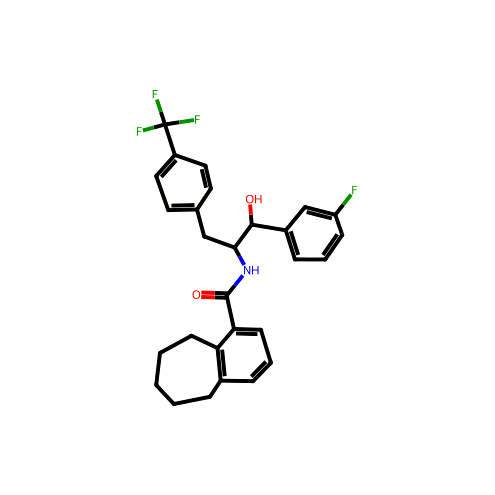 O=C(NC(Cc1ccc(C(F)(F)F)cc1)C(O)c1cccc(F)c1)c1cccc2c1CCCCC2